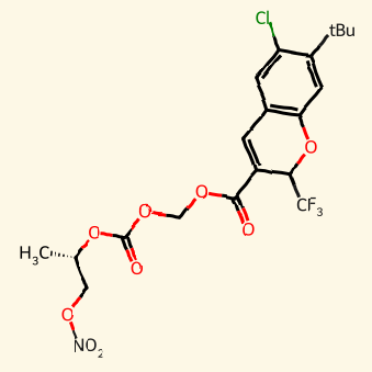 C[C@@H](CO[N+](=O)[O-])OC(=O)OCOC(=O)C1=Cc2cc(Cl)c(C(C)(C)C)cc2OC1C(F)(F)F